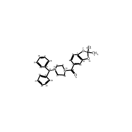 CCC1(C)Oc2ccc(C(=O)N3CCN(C(c4ccccc4)c4ccccc4)CC3)cc2O1